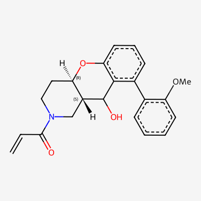 C=CC(=O)N1CC[C@H]2Oc3cccc(-c4ccccc4OC)c3C(O)[C@@H]2C1